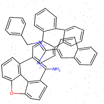 N/C(=N\C(=N/Cc1ccccc1)c1ccc2ccccc2c1)c1cccc2oc3cccc(-c4ccc5c6ccccc6c6ccccc6c5c4)c3c12